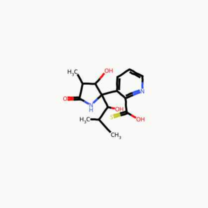 CC(C)C(O)C1(c2cccnc2C(O)=S)NC(=O)C(C)C1O